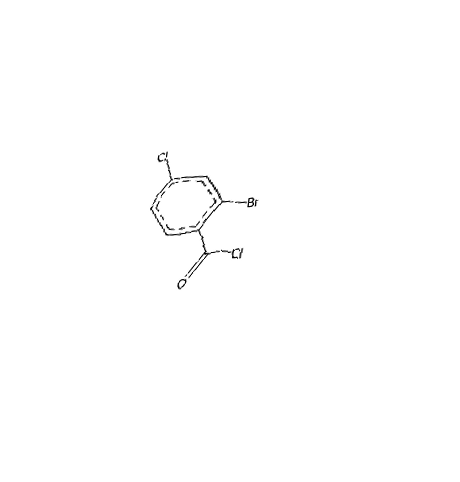 O=C(Cl)c1ccc(Cl)cc1Br